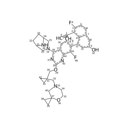 C#Cc1c(F)ccc2cc(O)cc(-c3c(C)cc4c(N5CC6CCC(C5)N6)nc(OCC5(CN6CCOC7(CC7)C6)CC5)nc4c3F)c12